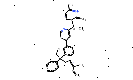 C=C/C(C)=C\C[Si](CC)(c1ccccc1)c1cccc(C2C=C([C@@H](C)C(C=C)/C=C\C(C)=N)N=CC2)c1